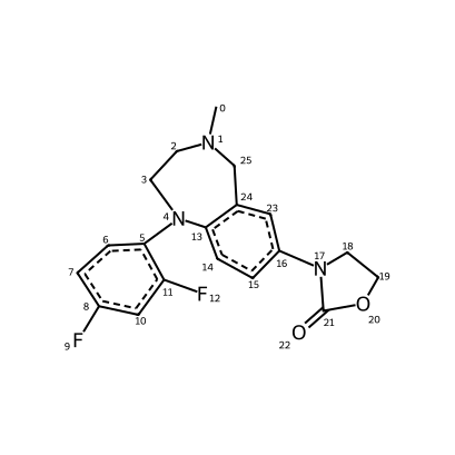 CN1CCN(c2ccc(F)cc2F)c2ccc(N3CCOC3=O)cc2C1